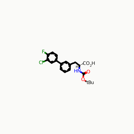 CC(C)(C)OC(=O)N[C@H](Cc1cccc(-c2ccc(F)c(Cl)c2)c1)C(=O)O